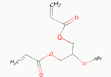 C=CC(=O)OCC(COC(=O)C=C)OCCC